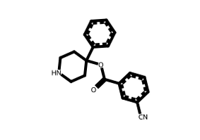 N#Cc1cccc(C(=O)OC2(c3ccccc3)CCNCC2)c1